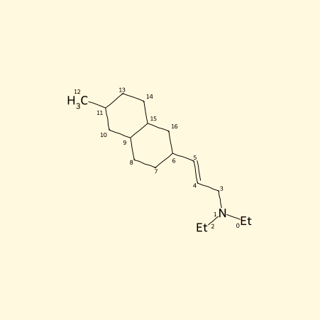 CCN(CC)C/C=C/C1CCC2CC(C)CCC2C1